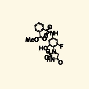 COC(=O)c1ccccc1S(=O)(=O)Nc1cc(O)c(N2CC(=O)NS2(=O)=O)c(F)c1